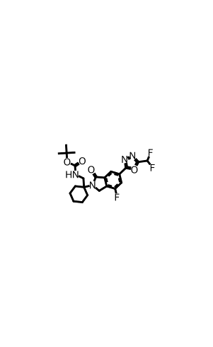 CC(C)(C)OC(=O)NCC1(N2Cc3c(F)cc(-c4nnc(C(F)F)o4)cc3C2=O)CCCCC1